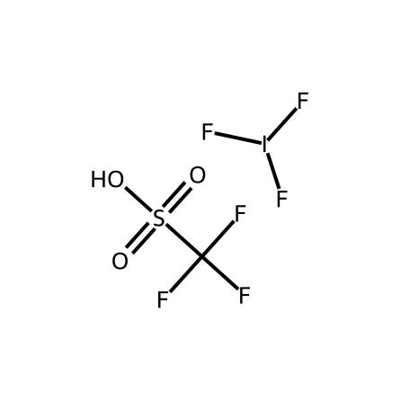 FI(F)F.O=S(=O)(O)C(F)(F)F